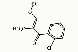 CCOC=C(C(=O)O)C(=O)c1ccccc1Cl